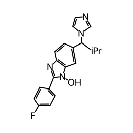 CC(C)C(c1ccc2nc(-c3ccc(F)cc3)n(O)c2c1)n1ccnc1